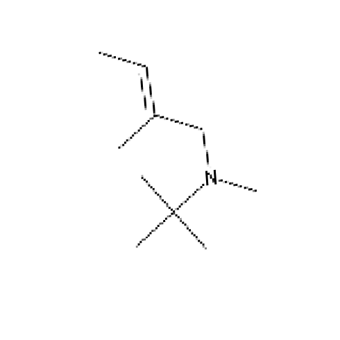 C/C=C(\C)CN(C)C(C)(C)C